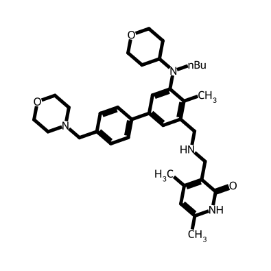 CCCCN(c1cc(-c2ccc(CN3CCOCC3)cc2)cc(CNCc2c(C)cc(C)[nH]c2=O)c1C)C1CCOCC1